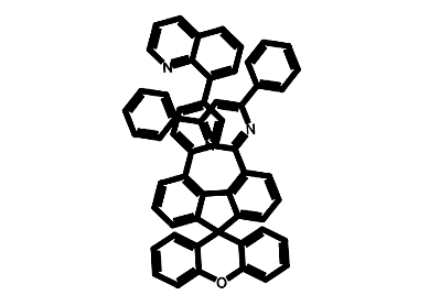 c1ccc(-c2cc(-c3ccccc3)nc(-c3cccc4c3-c3c(-c5ccc(-c6cccc7cccnc67)cc5)cccc3C43c4ccccc4Oc4ccccc43)n2)cc1